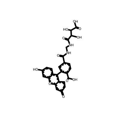 O=C(NCNC(=O)C(O)C(O)C(=O)O)c1ccc(C(=O)O)c(-c2c3ccc(=O)cc-3oc3cc(O)ccc23)c1